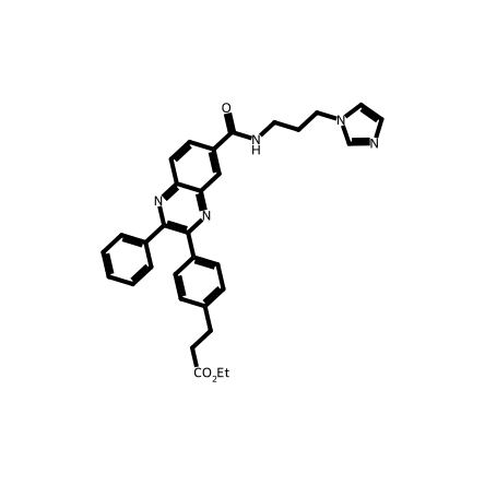 CCOC(=O)CCc1ccc(-c2nc3cc(C(=O)NCCCn4ccnc4)ccc3nc2-c2ccccc2)cc1